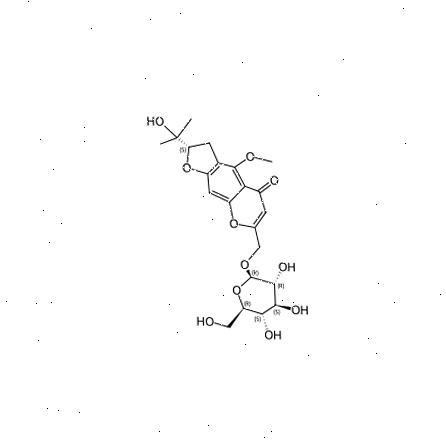 COc1c2c(cc3oc(CO[C@@H]4O[C@H](CO)[C@@H](O)[C@H](O)[C@H]4O)cc(=O)c13)O[C@H](C(C)(C)O)C2